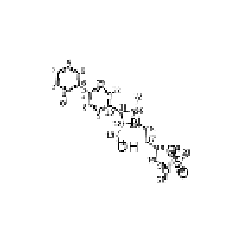 Cc1ccccc1-c1ccc([C@@H]2[C@@H](CO)N(CCCCN(C)S(C)(=O)=O)[C@H]2C)cc1